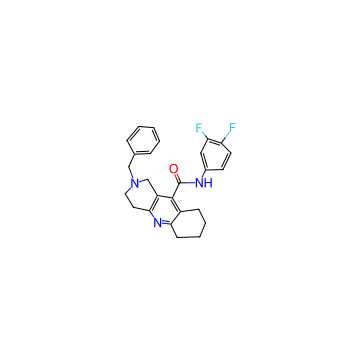 O=C(Nc1ccc(F)c(F)c1)c1c2c(nc3c1CN(Cc1ccccc1)CC3)CCCC2